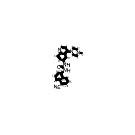 CN1CCN(c2ccnc3ccc(NC(=O)Nc4cccc5c(C#N)cccc45)cc23)CC1